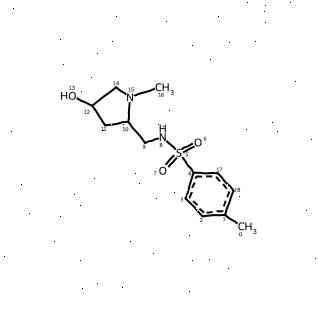 Cc1ccc(S(=O)(=O)NCC2CC(O)CN2C)cc1